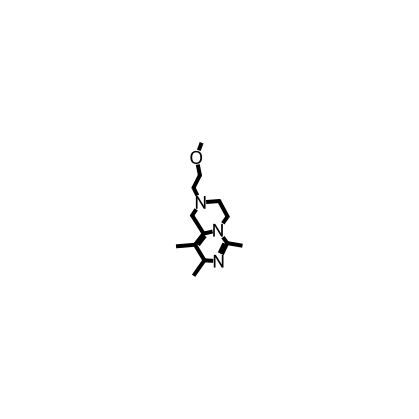 COCCN1CCN2C(C)=NC(C)C(C)=C2C1